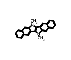 Cn1c2cc3ccccc3cc2c2c1c1cc3ccccc3cc1n2C